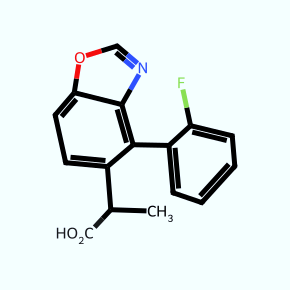 CC(C(=O)O)c1ccc2ocnc2c1-c1ccccc1F